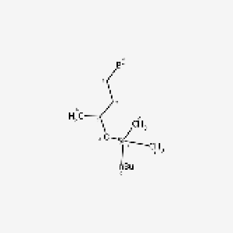 CCCC[Si](C)(C)OC(C)CCBr